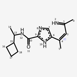 CC(=N)/C=C(/C)c1cnc(C(=O)NC(C)C2CCC2)[nH]1